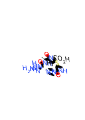 C[C@@H](NC(=O)CN/C=N\NN)[C@H]1C(=O)N2C(C(=O)O)=C(S[C@@H]3CN[C@H](C(=O)N4CC[N+](C)(C)CC4)C3)[C@H](C)[C@H]12